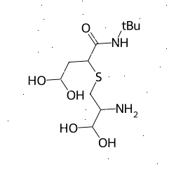 CC(C)(C)NC(=O)C(CC(O)O)SCC(N)C(O)O